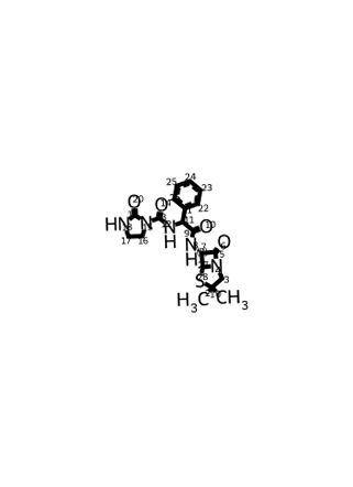 CC1(C)CN2C(=O)[C@@H](NC(=O)C(NC(=O)N3CCNC3=O)c3ccccc3)C2S1